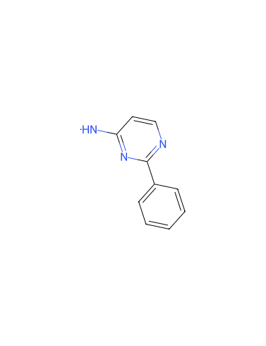 [NH]c1ccnc(-c2ccccc2)n1